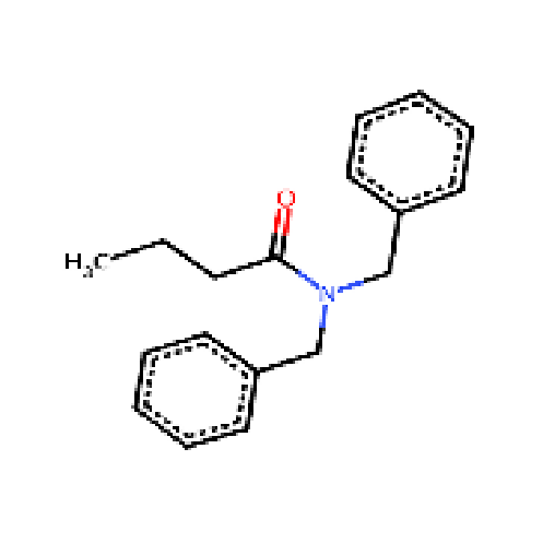 CCCC(=O)N(Cc1ccccc1)Cc1ccccc1